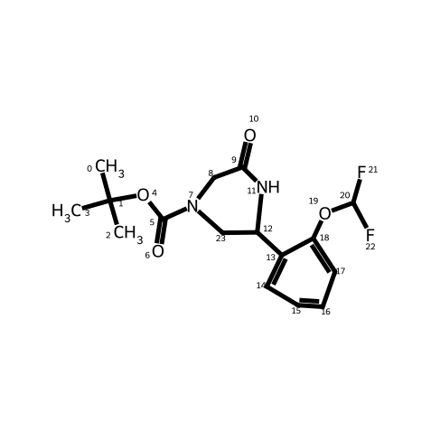 CC(C)(C)OC(=O)N1CC(=O)NC(c2ccccc2OC(F)F)C1